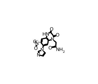 NC(=O)Cn1c(=O)c(=O)[nH]c2cc([N+](=O)[O-])c(-n3ccnc3)cc21